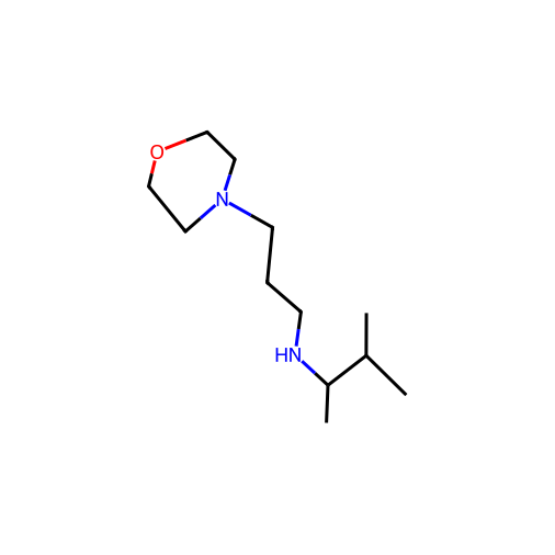 CC(C)C(C)NCCCN1CCOCC1